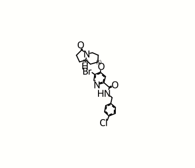 O=C(NCc1ccc(Cl)cc1)c1cc(O[C@H]2CCN3C(=O)CC[C@@H]3C2)c(Br)cn1